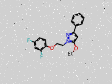 CCOc1cc(-c2ccccc2)nn1CCOc1ccc(F)cc1F